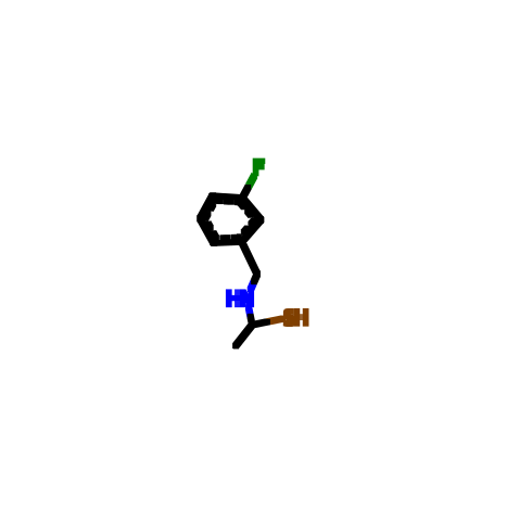 CC(S)NCc1cccc(F)c1